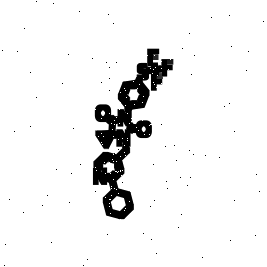 O=C1N(c2ccc(SC(F)(F)F)cc2)C(=O)C2(CC2)N1Cc1ccnc(C2CCCCC2)c1